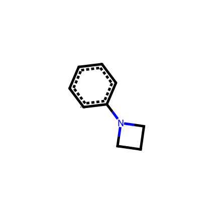 [c]1ccccc1N1CCC1